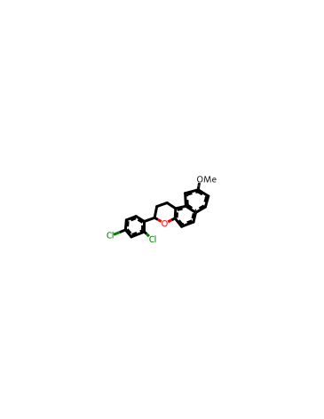 COc1ccc2ccc3c(c2c1)CCC(c1ccc(Cl)cc1Cl)O3